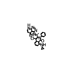 C[C@H](Nc1ncnc2[nH]ccc(=O)c12)c1c(Cl)c2cccc(NC3CC3)c2c(=O)n1-c1ccccc1